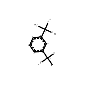 CC(F)(F)c1c[c]cc(C(F)(F)F)c1